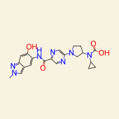 Cn1cc2cc(NC(=O)c3cnc(N4CCC(N(C(=O)O)C5CC5)C4)cn3)c(O)cc2n1